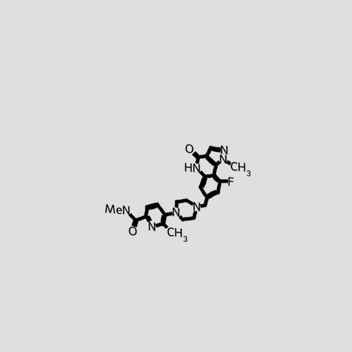 CNC(=O)c1ccc(N2CCN(Cc3cc(F)c4c(c3)[nH]c(=O)c3cnn(C)c34)CC2)c(C)n1